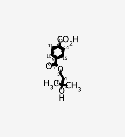 CC(C)(O)CCOC(=O)c1ccc(C(=O)O)cc1